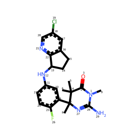 CN1C(=O)C(C)(C)C(C)(c2cc(NC3CCc4cc(Cl)cnc43)ccc2F)N=C1N